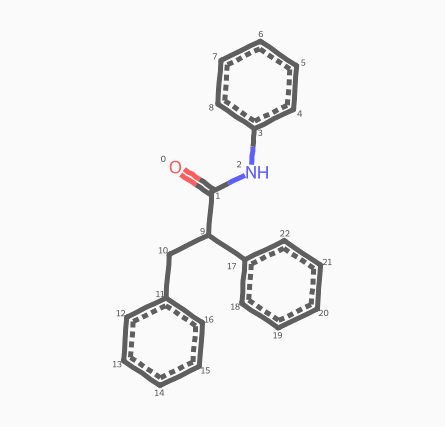 O=C(Nc1ccccc1)C(Cc1ccccc1)c1ccccc1